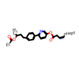 CCCCCCC/C=C\CC(=O)Oc1ccc(-c2ccc(CCC(C)OC(=O)CC)cc2)nc1